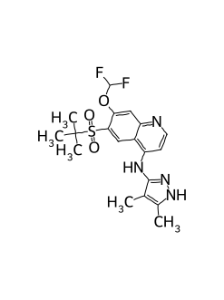 Cc1[nH]nc(Nc2ccnc3cc(OC(F)F)c(S(=O)(=O)C(C)(C)C)cc23)c1C